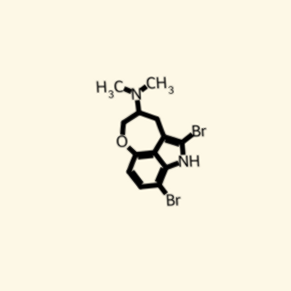 CN(C)C1COc2ccc(Br)c3[nH]c(Br)c(c23)C1